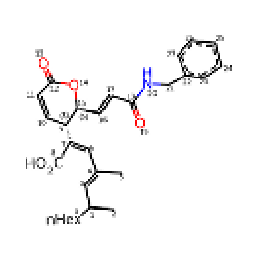 CCCCCCC(C)C=C(C)C=C(C(=O)O)[C@@H]1C=CC(=O)O[C@H]1C=CC(=O)NCc1ccccc1